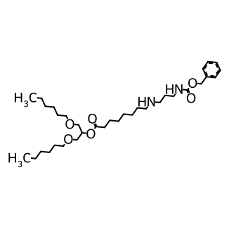 CCCCCCOCC(COCCCCCC)OC(=O)CCCCCCCNCCCNC(=O)OCc1ccccc1